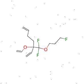 C=CCCC(C=C)(OC=C)C(F)(F)OCCCF